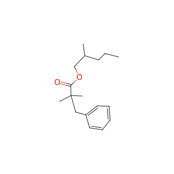 CCCC(C)COC(=O)C(C)(C)Cc1ccccc1